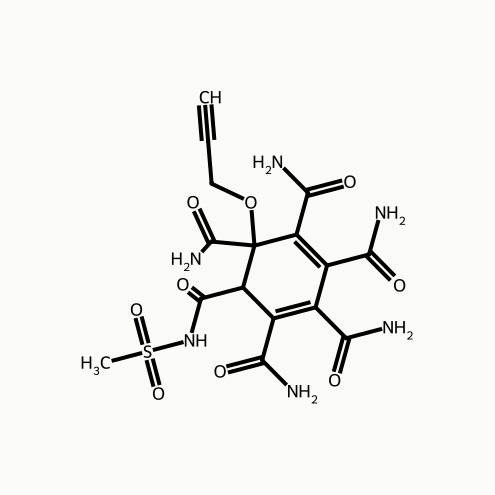 C#CCOC1(C(N)=O)C(C(N)=O)=C(C(N)=O)C(C(N)=O)=C(C(N)=O)C1C(=O)NS(C)(=O)=O